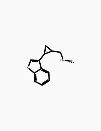 CCNCC1CC1c1csc2ccccc12